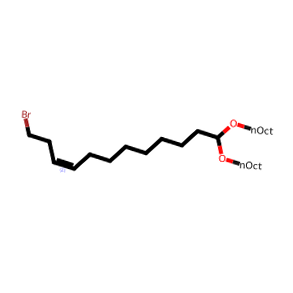 CCCCCCCCOC(CCCCCCC/C=C\CCBr)OCCCCCCCC